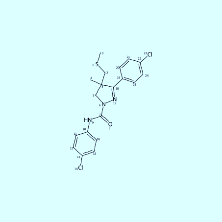 CSCC1(C)CN(C(=O)Nc2ccc(Cl)cc2)N=C1c1ccc(Cl)cc1